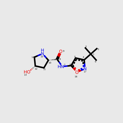 CC(C)(C)c1cc(NC(=O)[C@@H]2C[C@H](O)CN2)on1